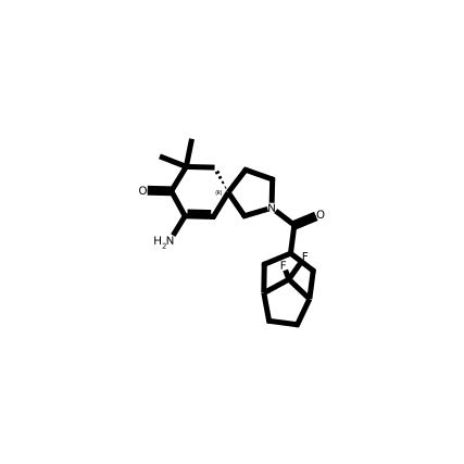 CC1(C)C[C@]2(C=C(N)C1=O)CCN(C(=O)C1CC3CCC(C1)C3(F)F)C2